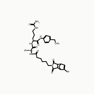 CC(=O)OCc1ccc(NC(=O)[C@H](CCCNC(N)=O)NC(=O)[C@@H](NC(=O)CCCCCN2C(=O)C3C4C=C(C(C)C)C(C4)C3C2=O)C(C)C)cc1